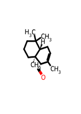 CC1=CC[C@H]2C(C)(C)CCC[C@]2(C)[C@H]1C=O